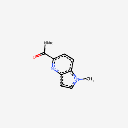 CNC(=O)c1ccc2c(ccn2C)n1